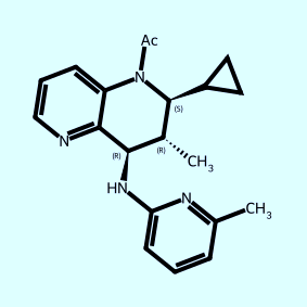 CC(=O)N1c2cccnc2[C@H](Nc2cccc(C)n2)[C@@H](C)[C@@H]1C1CC1